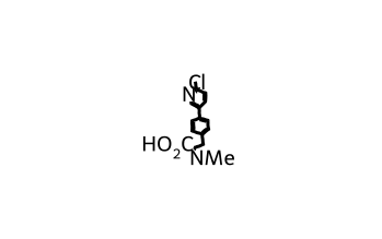 CN[C@@H](Cc1ccc(-c2ccc(Cl)nc2)cc1)C(=O)O